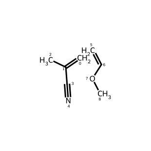 C=C(C)C#N.C=COC